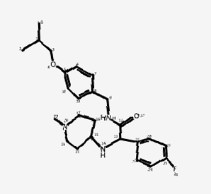 CC(C)COc1ccc(CNC(=O)C(NC2CCN(C)CC2)c2ccc(F)cc2)cc1